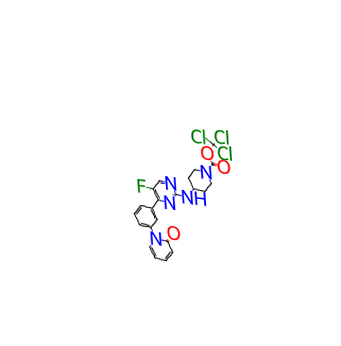 O=C(OC(Cl)(Cl)Cl)N1CCC(Nc2ncc(F)c(-c3cccc(-n4ccccc4=O)c3)n2)CC1